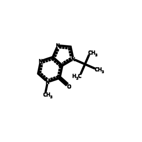 Cn1cnc2ncn(C(C)(C)C)c2c1=O